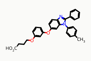 Cc1ccc(-n2c(-c3ccccc3)nc3ccc(Oc4cccc(OCCCC(=O)O)c4)cc32)cc1